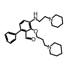 O=Cc1c(-c2ccccc2)ccc(NCCN2CCCCC2)c1OCCCN1CCCCC1